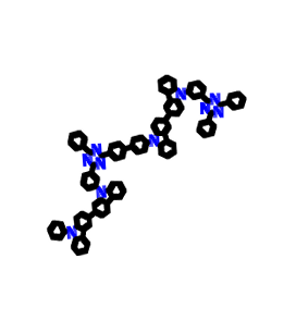 c1ccc(-c2nc(-c3ccccc3)nc(-c3cccc(-n4c5ccccc5c5cc(-c6ccc7c(c6)c6ccccc6n7-c6ccc(-c7ccc(-c8nc(-c9ccccc9)nc(-c9cccc(-n%10c%11ccccc%11c%11ccc(-c%12ccc%13c(c%12)c%12ccccc%12n%13-c%12ccccc%12)cc%11%10)c9)n8)cc7)cc6)ccc54)c3)n2)cc1